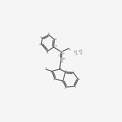 CC1=Cc2ccccc2[CH]1/[Zr+2]=[Si](\C)c1ccccc1.[Cl-].[Cl-]